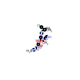 C[C@@H]1CN(c2cc(N3CCN(CC4=C(c5ccc(Cl)cc5)CC(C)(C)CC4)CC3)ccc2C(=O)NS(=O)(=O)c2cc3c(c([N+](=O)[O-])c2)NC(CN2CCN(C)CC2)CS3)c2cc3cc[nH]c3nc2O1